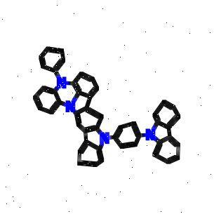 c1ccc(N2c3ccccc3-n3c4cc5c6ccccc6n(-c6ccc(-n7c8ccccc8c8ccccc87)cc6)c5cc4c4cccc2c43)cc1